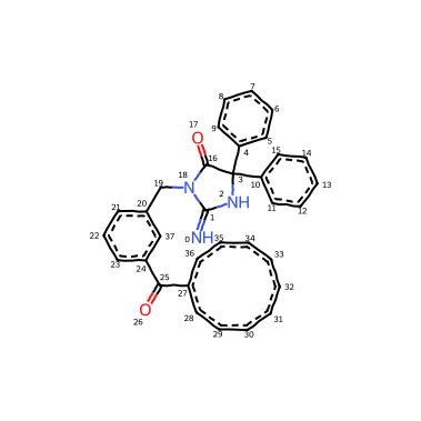 N=C1NC(c2ccccc2)(c2ccccc2)C(=O)N1Cc1cccc(C(=O)c2ccccccccc2)c1